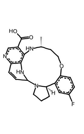 C[C@@H]1CCOc2ccc(F)cc2[C@H]2CCCN2C2C=Cc3ncc(C(=O)O)c(c3N2)N1